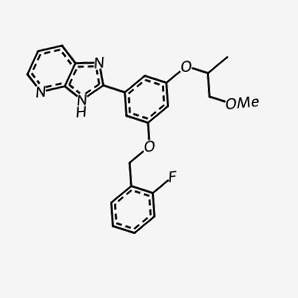 COCC(C)Oc1cc(OCc2ccccc2F)cc(-c2nc3cccnc3[nH]2)c1